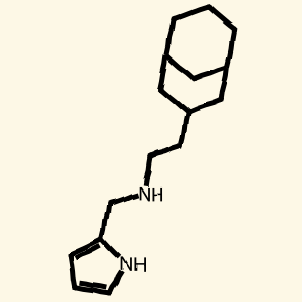 c1c[nH]c(CNCCC2CC3CCCC(C3)C2)c1